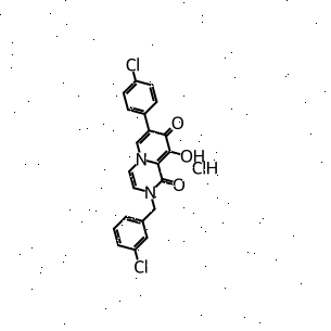 Cl.O=c1c(-c2ccc(Cl)cc2)cn2ccn(Cc3cccc(Cl)c3)c(=O)c2c1O